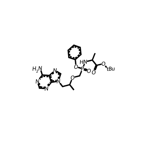 CC(Cn1cnc2c(N)ncnc21)OCP(=O)(NC(C)C(=O)OC(C)(C)C)Oc1ccccc1